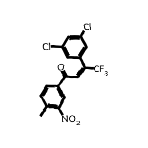 Cc1ccc(C(=O)C=C(c2cc(Cl)cc(Cl)c2)C(F)(F)F)cc1[N+](=O)[O-]